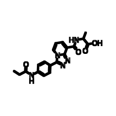 CCC(=O)Nc1ccc(-c2nnc3c(C(=O)NC(C)C(=O)O)cccn23)cc1